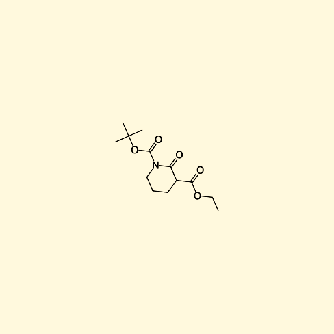 CCOC(=O)C1CCCN(C(=O)OC(C)(C)C)C1=O